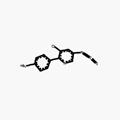 CCCCc1ccc(-c2ncc(N=C=S)cc2Cl)cc1